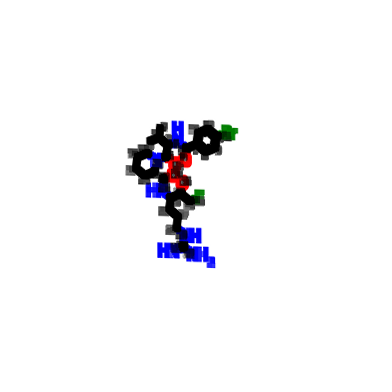 CC(C)C(NC(=O)c1ccc(Br)cc1)C(=O)N1CCCC[C@H]1C(=O)NC(CCCNC(=N)N)C(=O)CF